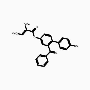 CCc1ccc(-c2ccc(OC(=O)C(=COC)OC)cc2C(=O)c2ccccc2)cc1